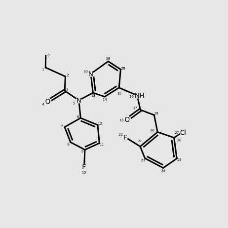 CCCC(=O)N(c1ccc(F)cc1)c1cc(NC(=O)Cc2c(F)cccc2Cl)ccn1